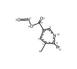 Cc1cc(C(=O)ON=O)cnc1Br